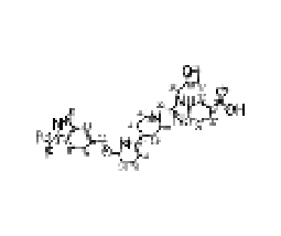 Cn1nc(C(F)F)c2ccc(COc3cccc(C4CCN(Cc5nc6ccc(C(=O)O)cc6n5CC5CCO5)CC4)n3)cc21